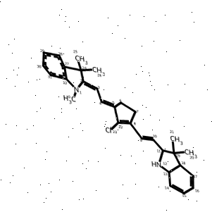 CN1/C(=C\C=C2/CCC(/C=C/C3NC4C=CC=CC4C3(C)C)=C2Cl)C(C)(C)c2ccccc21